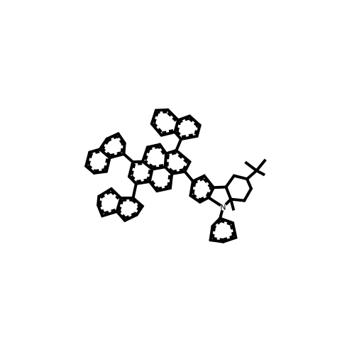 CC(C)(C)C1CCC2(C)C(C1)c1cc(-c3cc(-c4cccc5ccccc45)c4ccc5c(-c6cccc7ccccc67)cc(-c6cccc7ccccc67)c6ccc3c4c65)ccc1N2c1ccccc1